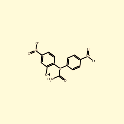 NC(=O)N(c1ccc([N+](=O)[O-])cc1)c1ccc([N+](=O)[O-])cc1O